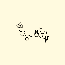 O=C(C=Cc1cnc2c(c1)CC1(CC(F)(F)C1)C(=O)N2)N1CCC(=Cc2ncsn2)CC1